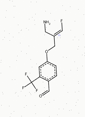 NC/C(=C\F)COc1ccc(C=O)c(C(F)(F)F)c1